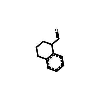 O=CC1CCCc2ccccc21